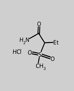 CCC(C(N)=O)S(C)(=O)=O.Cl